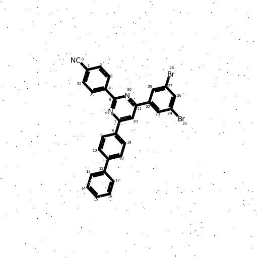 N#Cc1ccc(-c2nc(-c3ccc(-c4ccccc4)cc3)cc(-c3cc(Br)cc(Br)c3)n2)cc1